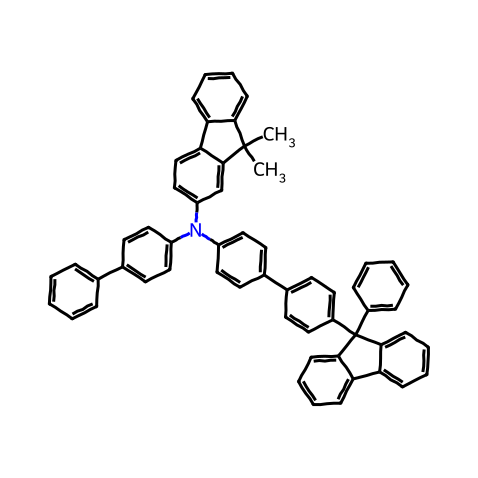 CC1(C)c2ccccc2-c2ccc(N(c3ccc(-c4ccccc4)cc3)c3ccc(-c4ccc(C5(c6ccccc6)c6ccccc6-c6ccccc65)cc4)cc3)cc21